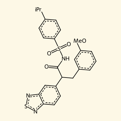 COc1cccc(CC(C(=O)NS(=O)(=O)c2ccc(C(C)C)cc2)c2ccc3nsnc3c2)c1